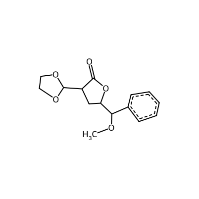 COC(c1ccccc1)C1CC(C2OCCO2)C(=O)O1